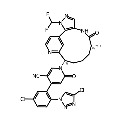 C[C@@H]1CCC[C@H](n2cc(C#N)c(-c3cc(Cl)ccc3-n3cc(Cl)nn3)cc2=O)c2cc(ccn2)-c2c(cnn2C(F)F)NC1=O